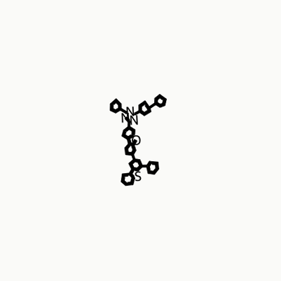 c1ccc(-c2ccc(-c3nc(-c4ccccc4)nc(-c4ccc5c(c4)oc4cc(-c6cc(-c7ccccc7)c7sc8ccccc8c7c6)ccc45)n3)cc2)cc1